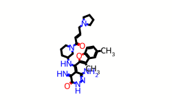 Cc1ccc2oc(/C(NC3CCCN(C(=O)/C=C/CN4CCCC4)C3)=C3/C(=N)C(=O)NN=C3N)c(C)c2c1